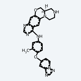 Cc1cc(Nc2ncnc3cc4c(cc23)N2CCNC[C@@H]2CO4)ccc1Oc1ccn2ncnc2c1